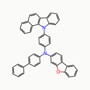 c1ccc(-c2ccc(N(c3ccc(-n4c5ccccc5c5ccc6ccccc6c54)cc3)c3ccc4c(c3)oc3ccccc34)cc2)cc1